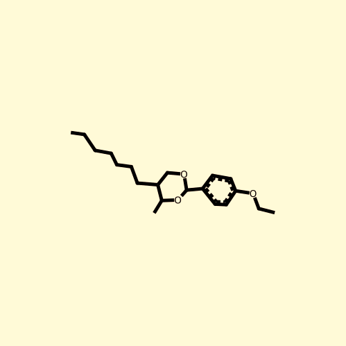 CCCCCCCC1COC(c2ccc(OCC)cc2)OC1C